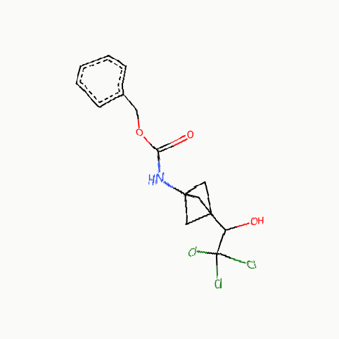 O=C(NC12CC(C(O)C(Cl)(Cl)Cl)(C1)C2)OCc1ccccc1